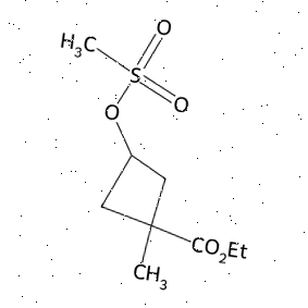 CCOC(=O)C1(C)CC(OS(C)(=O)=O)C1